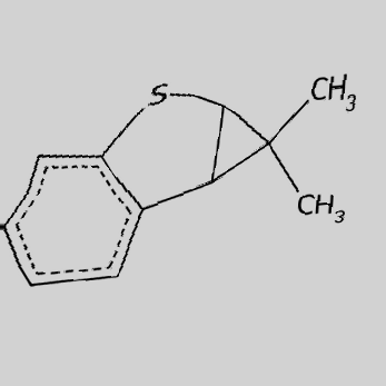 CC1(C)C2Sc3ccccc3C21